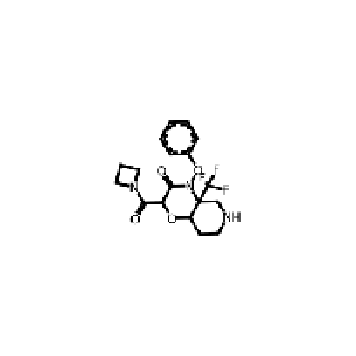 O=C(C1OC2CCNCC2(C(F)(F)F)N(Oc2ccccc2)C1=O)N1CCC1